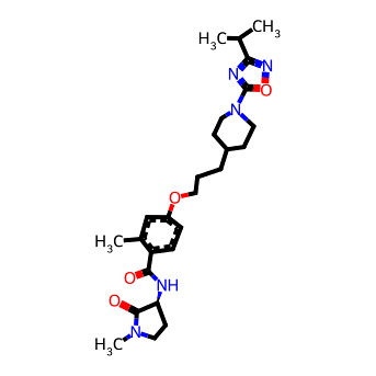 Cc1cc(OCCCC2CCN(c3nc(C(C)C)no3)CC2)ccc1C(=O)N[C@H]1CCN(C)C1=O